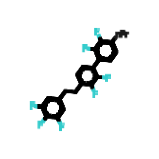 CCCc1ccc(-c2ccc(CCc3cc(F)c(F)c(F)c3)c(F)c2F)c(F)c1F